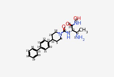 C[C@@H](N)[C@H](NC(=O)N1CCC(c2ccc(-c3ccccc3)cc2)CC1)C(=O)NO